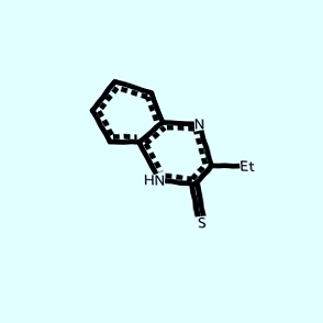 CCc1nc2ccccc2[nH]c1=S